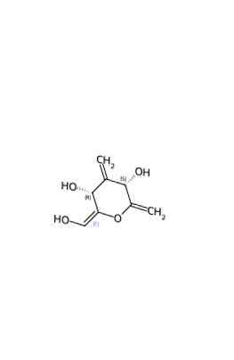 C=C1O/C(=C/O)[C@H](O)C(=C)[C@@H]1O